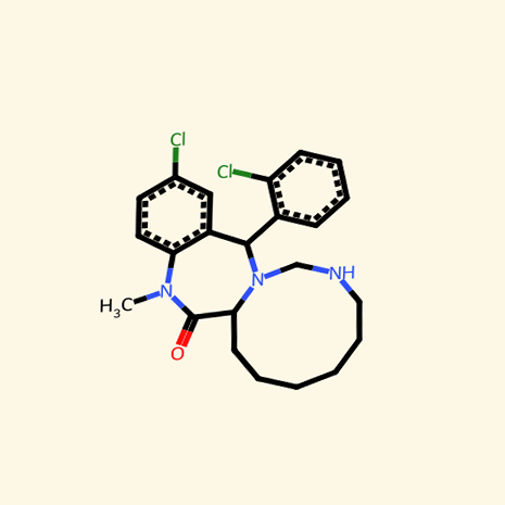 CN1C(=O)C2CCCCCCNCN2C(c2ccccc2Cl)c2cc(Cl)ccc21